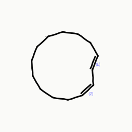 [CH]1CCC/C=C/C=C\CCCCCC1